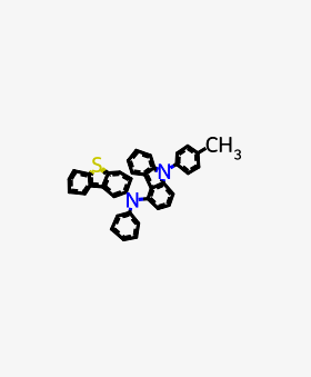 Cc1ccc(-n2c3ccccc3c3c(N(c4ccccc4)c4ccc5sc6ccccc6c5c4)cccc32)cc1